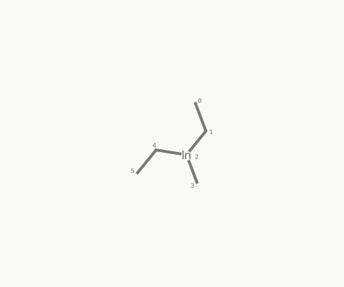 C[CH2][In]([CH3])[CH2]C